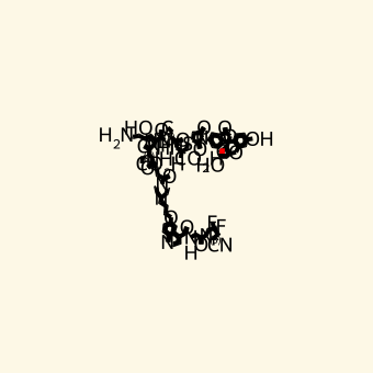 N#C[C@@H]1CC(F)(F)CN1C(=O)CNC(=O)c1ccnc2ccc(OCCCN3CCN(C(=O)CCC(=O)N[C@@H](CC(=O)O)C(=O)NC(CCCCN)C(=O)N[C@@H](CC(=O)O)C(=O)NC(CSC4CC(=O)N(c5ccc6c(c5)C(=O)OC65c6ccc(O)cc6Oc6cc(O)ccc65)C4=O)C(=O)O)CC3)cc12